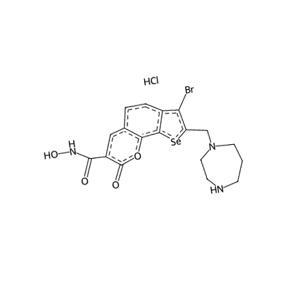 Cl.O=C(NO)c1cc2ccc3c(Br)c(CN4CCCNCC4)[se]c3c2oc1=O